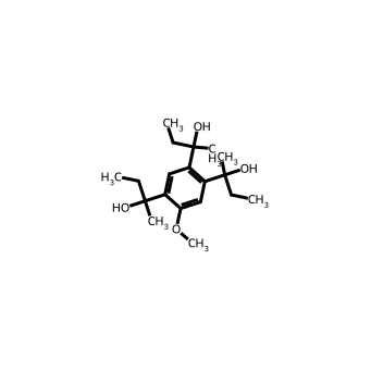 CCC(C)(O)c1cc(C(C)(O)CC)c(C(C)(O)CC)cc1OC